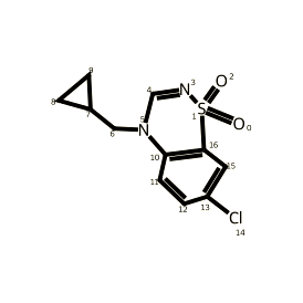 O=S1(=O)N=CN(CC2CC2)c2ccc(Cl)cc21